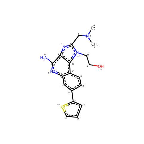 CCN(C)Cc1nc2c(N)nc3cc(-c4cccs4)ccc3c2n1CCO